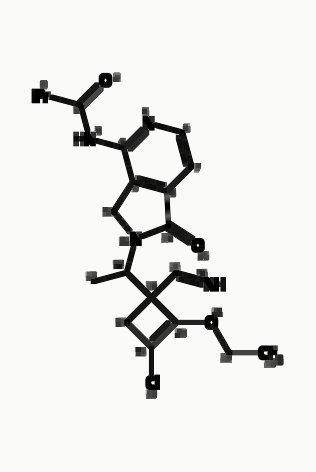 CC(C)C(=O)Nc1nccc2c1CN(C(C)C1(C=N)CC(Cl)=C1OCC(F)(F)F)C2=O